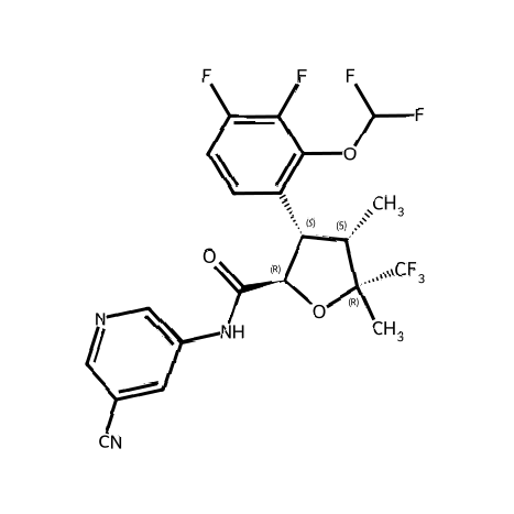 C[C@H]1[C@@H](c2ccc(F)c(F)c2OC(F)F)[C@H](C(=O)Nc2cncc(C#N)c2)O[C@@]1(C)C(F)(F)F